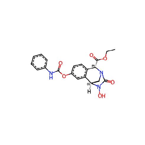 CCOC(=O)[C@H]1c2ccc(OC(=O)Nc3ccccc3)cc2[C@H]2CN1C(=O)N2O